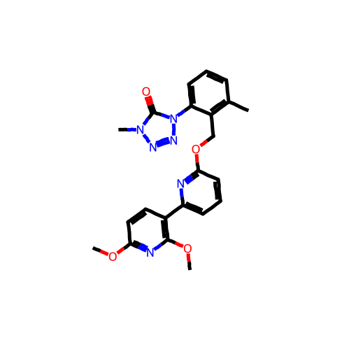 COc1ccc(-c2cccc(OCc3c(C)cccc3-n3nnn(C)c3=O)n2)c(OC)n1